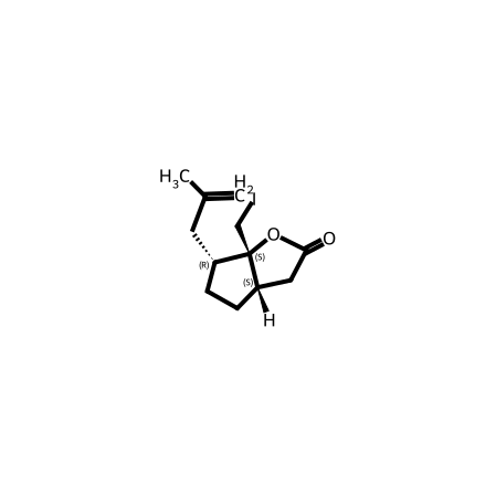 C=C(C)C[C@H]1CC[C@H]2CC(=O)O[C@@]12CI